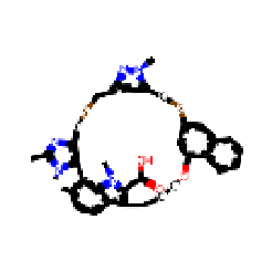 Cc1ccc2c3c(C(=O)O)n(C)c2c1-c1c(nc(C)n1C)CSCc1cc(n(C)n1)CSc1cc(c2ccccc2c1)OCCC3